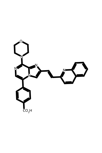 O=C(O)c1ccc(-c2cnc(N3CCOCC3)c3nc(C=Cc4ccc5ccccc5n4)cn23)cc1